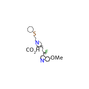 COc1ccc2nccc([C@H](F)CC[C@@H]3CCN(CCCSC4CCCCCC4)C[C@@H]3C(=O)O)c2c1